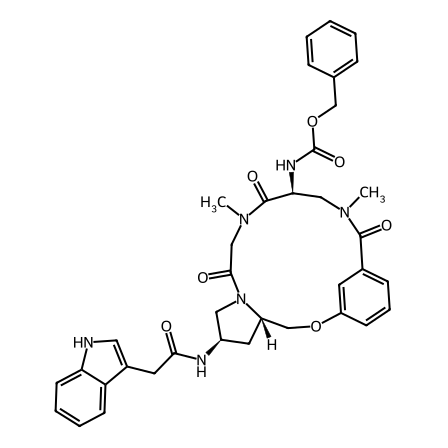 CN1C[C@H](NC(=O)OCc2ccccc2)C(=O)N(C)CC(=O)N2C[C@H](NC(=O)Cc3c[nH]c4ccccc34)C[C@H]2COc2cccc(c2)C1=O